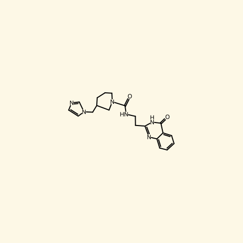 O=C(NCCc1nc2ccccc2c(=O)[nH]1)N1CCCC(Cn2ccnc2)C1